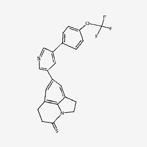 FC(F)(F)Oc1ccc(-c2cncc(-c3cc4c5c(c3)CCN5C(=S)CC4)c2)cc1